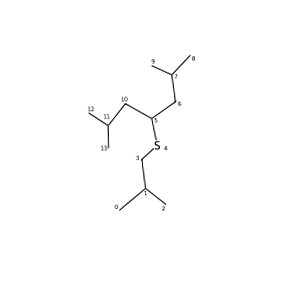 CC(C)CSC(CC(C)C)CC(C)C